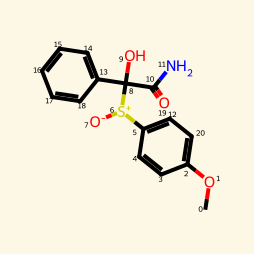 COc1ccc([S+]([O-])C(O)(C(N)=O)c2ccccc2)cc1